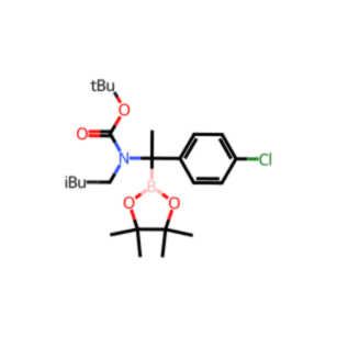 CCC(C)CN(C(=O)OC(C)(C)C)C(C)(B1OC(C)(C)C(C)(C)O1)c1ccc(Cl)cc1